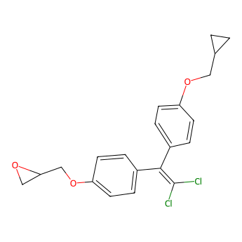 ClC(Cl)=C(c1ccc(OCC2CC2)cc1)c1ccc(OCC2CO2)cc1